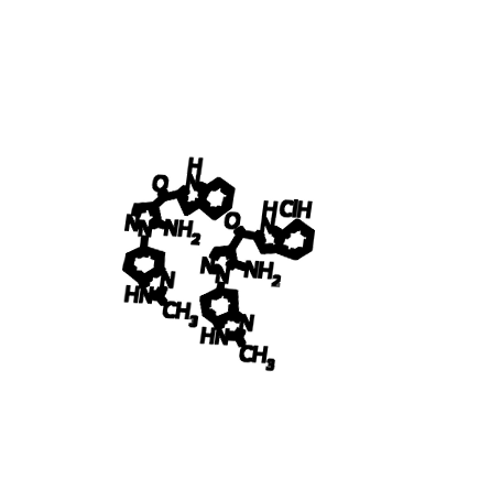 Cc1nc2cc(-n3ncc(C(=O)c4cc5ccccc5[nH]4)c3N)ccc2[nH]1.Cc1nc2cc(-n3ncc(C(=O)c4cc5ccccc5[nH]4)c3N)ccc2[nH]1.Cl